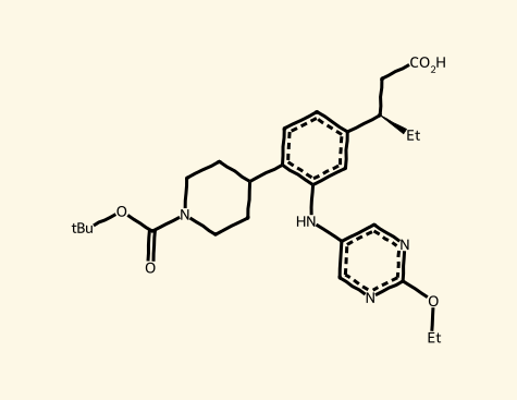 CCOc1ncc(Nc2cc([C@H](CC)CC(=O)O)ccc2C2CCN(C(=O)OC(C)(C)C)CC2)cn1